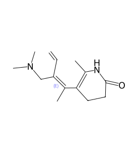 C=C/C(CN(C)C)=C(/C)C1=C(C)NC(=O)CC1